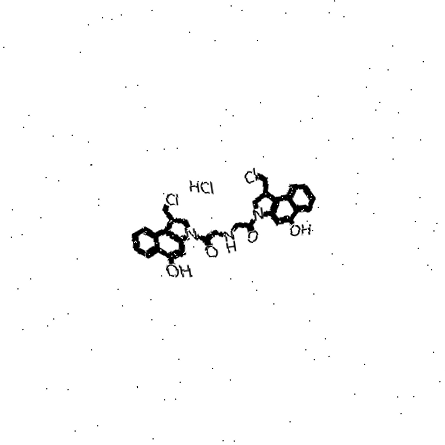 Cl.O=C(CNCC(=O)N1CC(CCl)c2c1cc(O)c1ccccc21)N1CC(CCl)c2c1cc(O)c1ccccc21